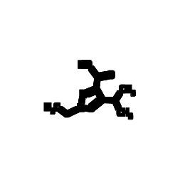 CCn1cc(C(C)C)c(C(=O)O)n1